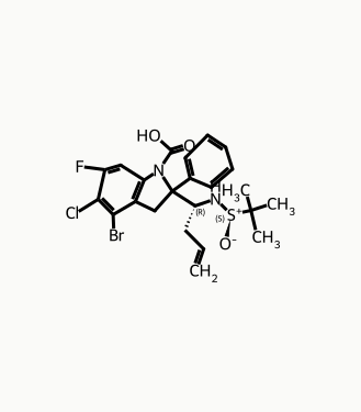 C=CC[C@@H](N[S@+]([O-])C(C)(C)C)C1(c2ccccc2)Cc2c(cc(F)c(Cl)c2Br)N1C(=O)O